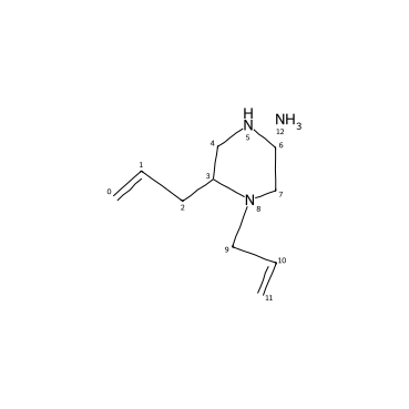 C=CCC1CNCCN1CC=C.N